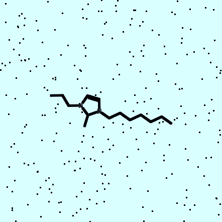 CCCCCCCN1C=CN(CCC)C1C